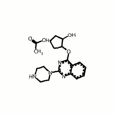 CC(=O)O.OC1CCCC1Oc1nc(N2CCNCC2)nc2ccccc12